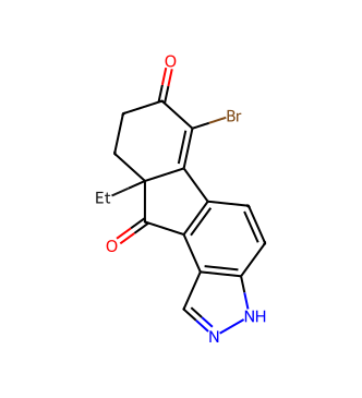 CCC12CCC(=O)C(Br)=C1c1ccc3[nH]ncc3c1C2=O